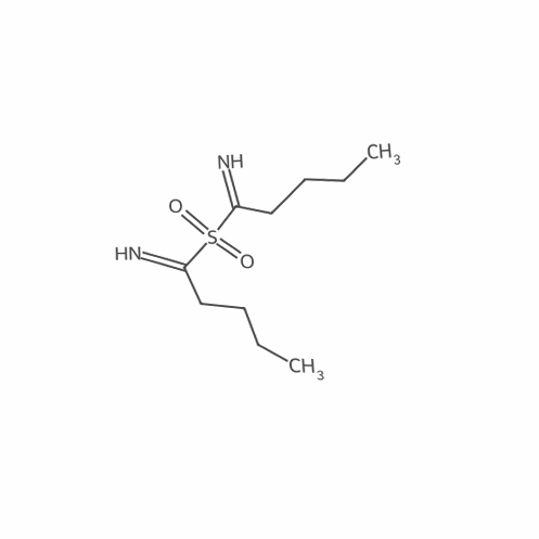 CCCCC(=N)S(=O)(=O)C(=N)CCCC